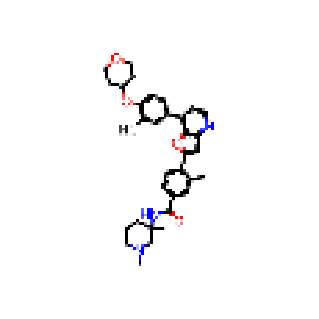 Cc1cc(C(=O)NC2(C)CCCN(C)C2)ccc1-c1cc2nccc(-c3ccc(OC4CCOCC4)c(C#N)c3)c2o1